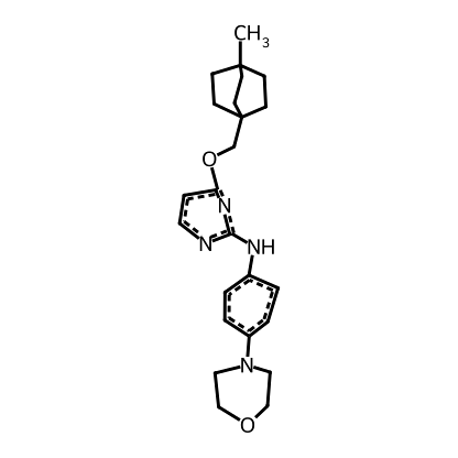 CC12CCC(COc3ccnc(Nc4ccc(N5CCOCC5)cc4)n3)(CC1)CC2